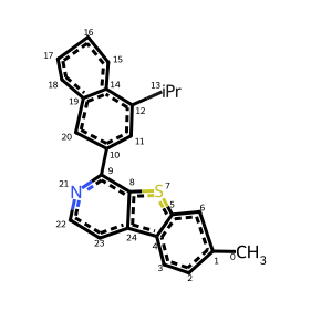 Cc1ccc2c(c1)sc1c(-c3cc(C(C)C)c4ccccc4c3)nccc12